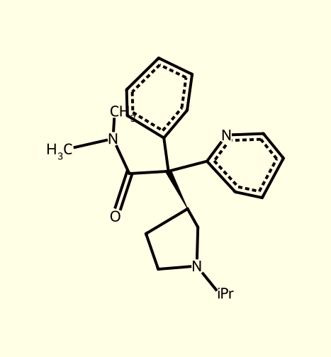 CC(C)N1CC[C@@H](C(C(=O)N(C)C)(c2ccccc2)c2ccccn2)C1